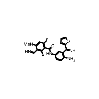 CNc1cc(F)c(C(=O)Nc2ccc(N)c(C(=N)c3ccco3)c2)c(F)c1C=N